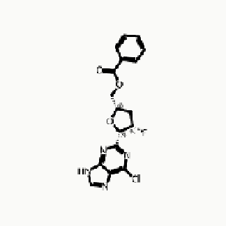 O=C(OC[C@@H]1C[C@H](F)[C@H](c2nc(Cl)c3nc[nH]c3n2)O1)c1ccccc1